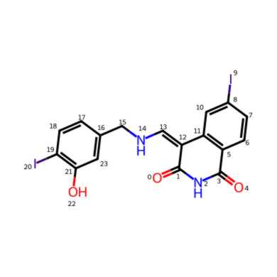 O=C1NC(=O)c2ccc(I)cc2C1=CNCc1ccc(I)c(O)c1